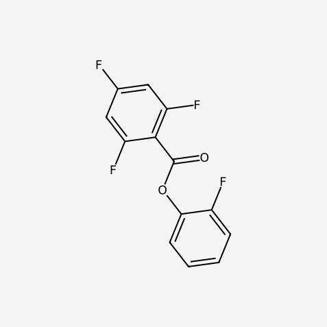 O=C(Oc1ccccc1F)c1c(F)cc(F)cc1F